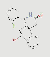 O=C1Cc2c(cc(Br)c3ccccc23)C(c2ccccc2F)N1